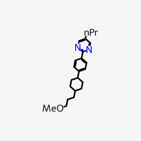 CCCc1cnc(-c2ccc(C3CCC(CCCOC)CC3)cc2)nc1